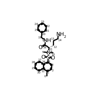 Cc1ccc(S(=O)(=O)[N+](C)(C)[C@@H](CCCN)C(=O)NCc2ccccc2)c2ccccc12